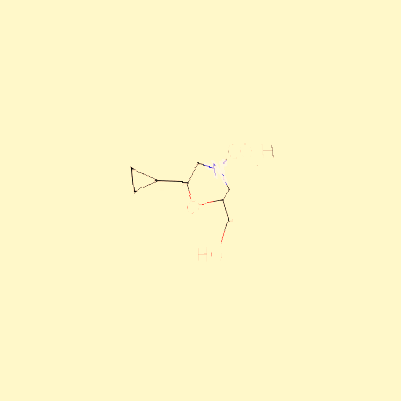 O=C(O)N1CC(CO)OC(C2CC2)C1